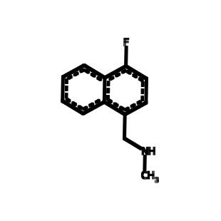 CNCc1ccc(F)c2ccccc12